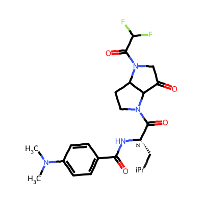 CC(C)C[C@H](NC(=O)c1ccc(N(C)C)cc1)C(=O)N1CCC2C1C(=O)CN2C(=O)C(F)F